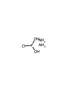 N.N.OP(O)Cl